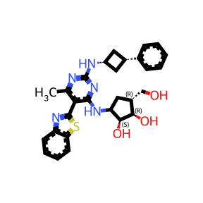 Cc1nc(N[C@H]2C[C@@H](c3ccccc3)C2)nc(NC2C[C@H](CO)[C@@H](O)[C@H]2O)c1-c1nc2ccccc2s1